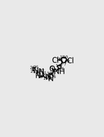 O=C(NC1CC(c2cc(Cl)ccc2Cl)C1)c1cnn(Cc2cnc(N3CCC3)nc2)c1